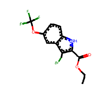 CCOC(=O)c1[nH]c2ccc(OC(F)(F)F)cc2c1Br